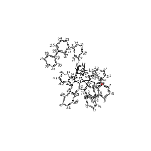 c1ccc(-c2cccc(-c3cccc(-c4nc(-c5cccc(-c6cccc(-c7ccccc7)c6)c5)nc(-n5c6ccccc6c6c7ccccc7c7c(c65)C5(c6ccccc6-c6ccccc65)c5ccccc5-7)n4)c3)c2)cc1